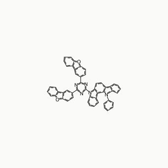 c1ccc(-n2c3ccccc3c3ccc4c(c5ccccc5n4-c4nc(-c5ccc6oc7ccccc7c6c5)nc(-c5ccc6oc7ccccc7c6c5)n4)c32)cc1